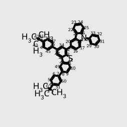 CC(C)(C)c1ccc(-c2ccc3sc4c(-c5ccc6c(c5)c5ccccc5n6-c5ccccc5)cc(-c5ccc(C(C)(C)C)cc5)cc4c3c2)cc1